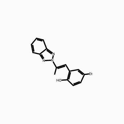 CCc1ccc(O)c(C=C(C)n2nc3ccccc3n2)c1